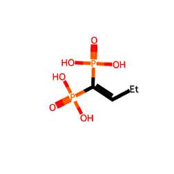 CCC=C(P(=O)(O)O)P(=O)(O)O